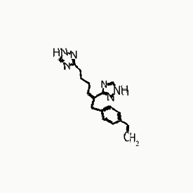 C=Cc1ccc(CC(CCCCc2nc[nH]n2)c2nc[nH]n2)cc1